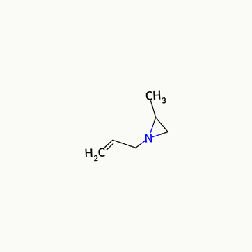 C=CCN1CC1C